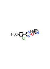 Cc1ccc(-c2cnc(O[C@H]3CN4CCC3CC4)nc2)c(Cl)c1